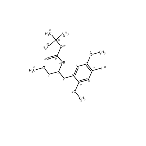 COCC(Cc1cc(OC)c(I)cc1OC)NC(=O)OC(C)(C)C